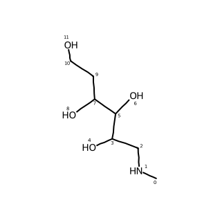 CNCC(O)C(O)C(O)CCO